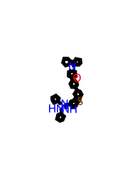 C1=Cc2c(n(-c3ccc4c(c3)oc3cc(-c5ccc6sc7ccc(C8N=C(c9ccccc9)NC(c9ccccc9)N8)cc7c6c5)ccc34)c3ccccc23)CC1